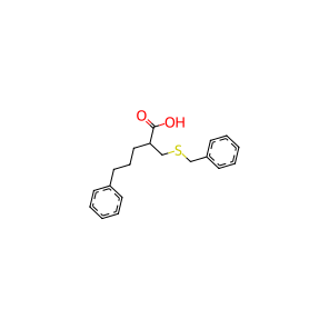 O=C(O)C(CCCc1ccccc1)CSCc1ccccc1